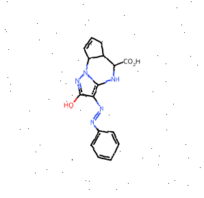 O=C(O)C1Nc2c(N=Nc3ccccc3)c(O)nn2C2C=CCC12